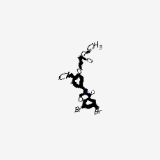 CCOC(=O)CCCCOc1cc(/C=C2\COc3c(Br)cc(CBr)cc3C2=O)ccc1Cl